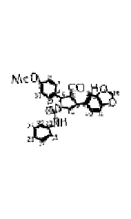 COc1ccc(C2C(C(=O)O)C(c3ccc4c(c3)OCO4)CN2C(=O)Nc2ccccc2)cc1